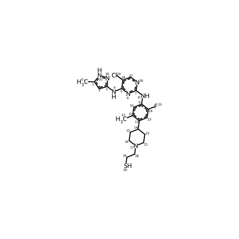 Cc1cc(Nc2nc(Nc3cc(C)c(C4CCN(CCS)CC4)cc3F)ncc2Cl)n[nH]1